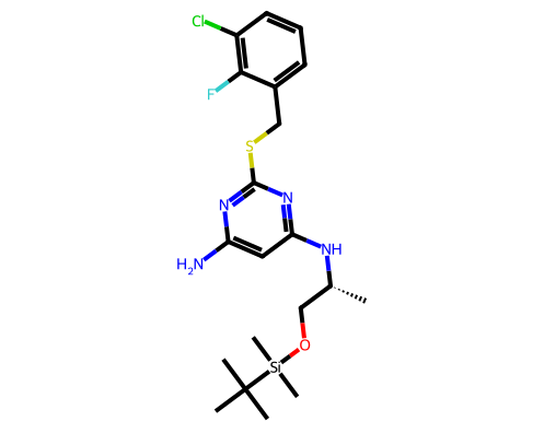 C[C@H](CO[Si](C)(C)C(C)(C)C)Nc1cc(N)nc(SCc2cccc(Cl)c2F)n1